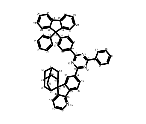 c1ccc(-c2nc(-c3ccc(C4(c5ccccc5)c5ccccc5-c5ccccc54)cc3)nc(-c3ccc4c(c3)C3(c5cccnc5-4)C4CC5CC(C4)CC3C5)n2)cc1